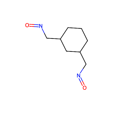 O=NCC1CCCC(CN=O)C1